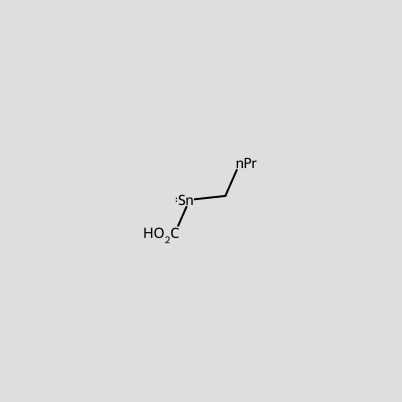 CCC[CH2][Sn][C](=O)O